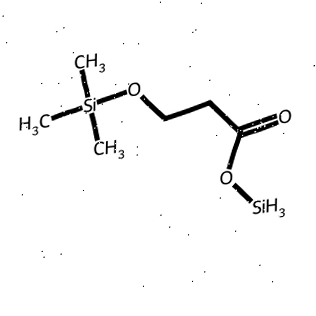 C[Si](C)(C)OCCC(=O)O[SiH3]